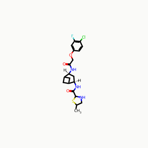 CC1CNC(C(=O)N[C@@H]2C[C@H](NC(=O)COc3ccc(Cl)c(F)c3)C3CC2C3)S1